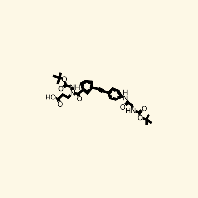 CC(C)(C)OC(=O)NCC(=O)Nc1ccc(C#Cc2cccc(C(=O)N(CCC(=O)O)NC(=O)OC(C)(C)C)c2)cc1